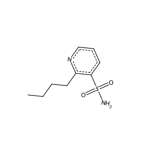 CCCCc1ncccc1S(N)(=O)=O